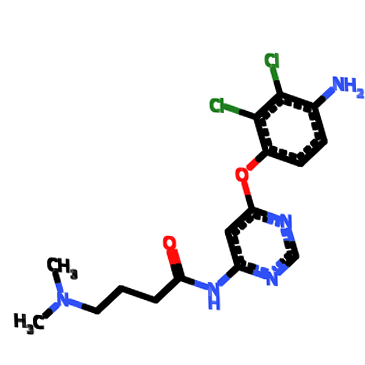 CN(C)CCCC(=O)Nc1cc(Oc2ccc(N)c(Cl)c2Cl)ncn1